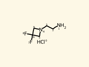 Cl.NCCN1CC(F)(F)C1